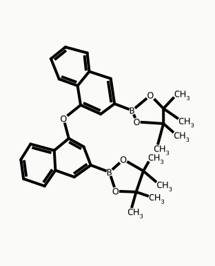 CC1(C)OB(c2cc(Oc3cc(B4OC(C)(C)C(C)(C)O4)cc4ccccc34)c3ccccc3c2)OC1(C)C